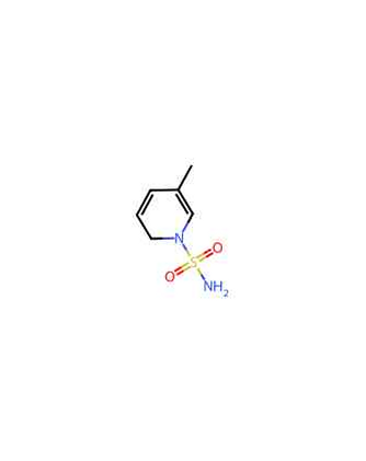 CC1=CN(S(N)(=O)=O)CC=C1